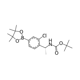 C[C@@H](NC(=O)OC(C)(C)C)c1ccc(B2OC(C)(C)C(C)(C)O2)cc1Cl